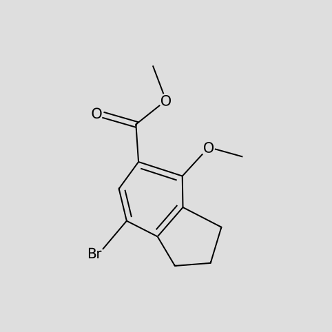 COC(=O)c1cc(Br)c2c(c1OC)CCC2